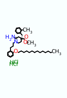 CCCCCCCCCCCCCCOc1ccccc1CCCN1CC[C@](Cc2ccccc2C)(C(=O)OC)C[C@@H]1N.Cl.Cl